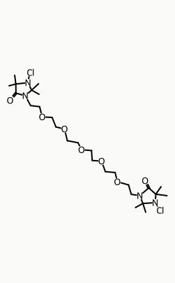 CC1(C)C(=O)N(CCOCCOCCOCCOCCOCCN2C(=O)C(C)(C)N(Cl)C2(C)C)C(C)(C)N1Cl